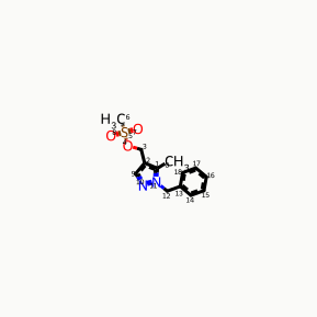 Cc1c(COS(C)(=O)=O)cnn1Cc1ccccc1